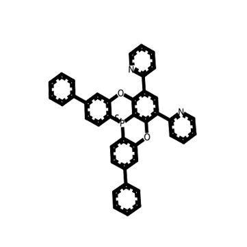 S=P12c3ccc(-c4ccccc4)cc3Oc3c(-c4ccccn4)cc(-c4ccccn4)c(c31)Oc1cc(-c3ccccc3)ccc12